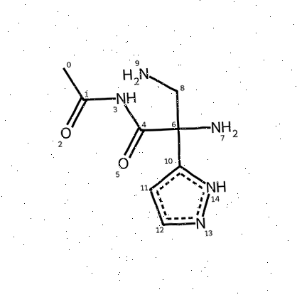 CC(=O)NC(=O)C(N)(CN)c1ccn[nH]1